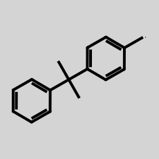 [CH2]c1ccc(C(C)(C)c2ccccc2)cc1